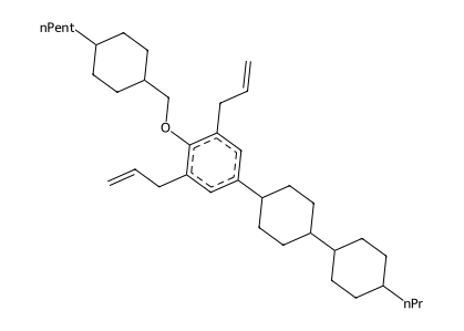 C=CCc1cc(C2CCC(C3CCC(CCC)CC3)CC2)cc(CC=C)c1OCC1CCC(CCCCC)CC1